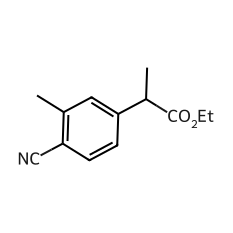 CCOC(=O)C(C)c1ccc(C#N)c(C)c1